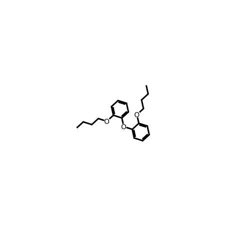 CCCCOc1ccccc1Oc1ccccc1OCCCC